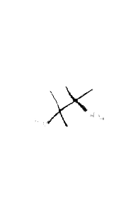 CCCCC(C)(C)C(C)(C)N